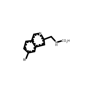 O=C(O)NCc1cc2cc(Br)ccc2cn1